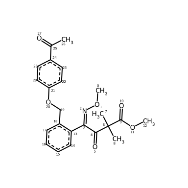 CON=C(C(=O)C(C)(C)C(=O)OC)c1ccccc1COc1ccc(C(C)=O)cc1